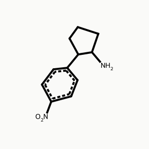 NC1CCCC1c1ccc([N+](=O)[O-])cc1